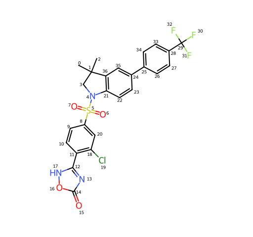 CC1(C)CN(S(=O)(=O)c2ccc(-c3nc(=O)o[nH]3)c(Cl)c2)c2ccc(-c3ccc(C(F)(F)F)cc3)cc21